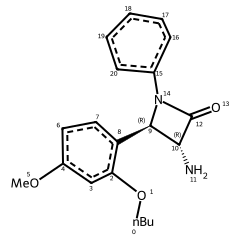 CCCCOc1cc(OC)ccc1[C@@H]1[C@@H](N)C(=O)N1c1ccccc1